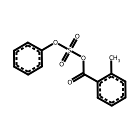 Cc1ccccc1C(=O)OS(=O)(=O)Oc1ccccc1